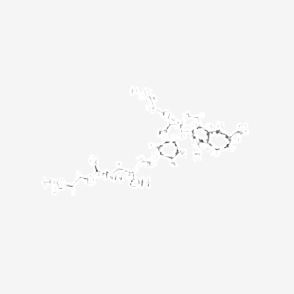 CCCOC(=O)NCC(O)COc1ccc(C2c3[nH]c4ccc(Cl)cc4c3CCN2C(=O)OCC)cc1